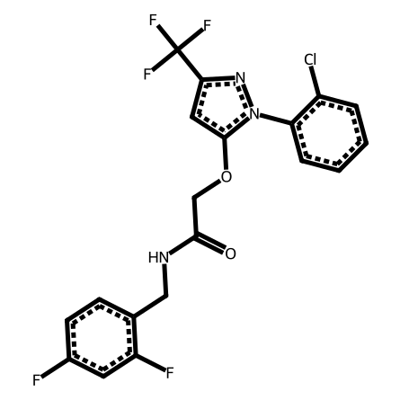 O=C(COc1cc(C(F)(F)F)nn1-c1ccccc1Cl)NCc1ccc(F)cc1F